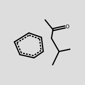 CC(=O)CC(C)C.c1ccccc1